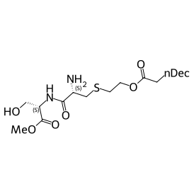 CCCCCCCCCCCC(=O)OCCSC[C@@H](N)C(=O)N[C@@H](CO)C(=O)OC